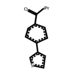 CC(C)C(=O)c1ccc(-c2ccsc2)cc1